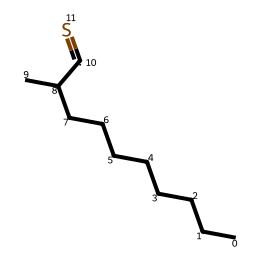 CCCCCCCCC(C)[C]=S